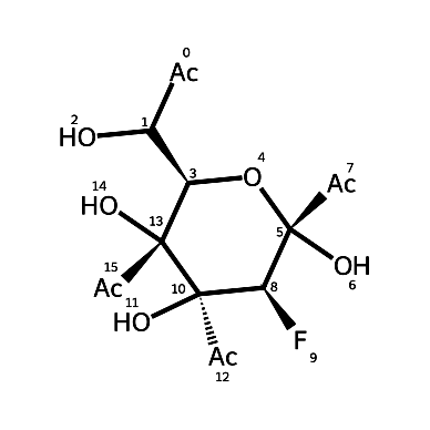 CC(=O)C(O)[C@H]1O[C@@](O)(C(C)=O)[C@@H](F)[C@](O)(C(C)=O)[C@@]1(O)C(C)=O